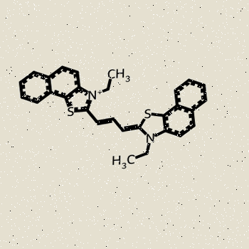 CCN1/C(=C/C=C/c2sc3c4ccccc4ccc3[n+]2CC)Sc2c1ccc1ccccc21